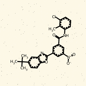 Cc1c(Cl)cccc1NC(=O)c1cc(-c2nc3cc(C(C)(C)C)ccc3o2)cc([N+](=O)[O-])c1